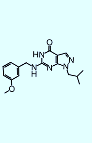 COc1cccc(CNc2nc3c(cnn3CC(C)C)c(=O)[nH]2)c1